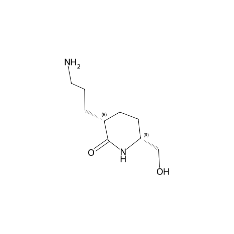 NCCC[C@@H]1CC[C@H](CO)NC1=O